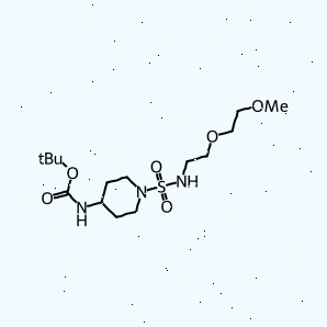 COCCOCCNS(=O)(=O)N1CCC(NC(=O)OC(C)(C)C)CC1